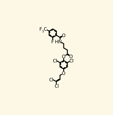 O=C(CCCNC(=O)c1ccc(C(F)(F)F)cc1F)Oc1c(Cl)cc(OCC=C(Cl)Cl)cc1Cl